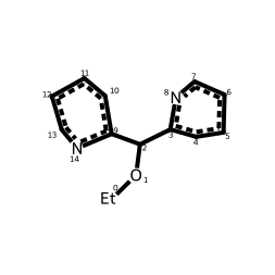 CCOC(c1ccccn1)c1ccccn1